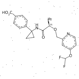 CC(C)[C@@H](OCc1cc(OC(F)F)ccn1)C(=O)NC1(c2ccc(C(=O)O)cc2)CC1